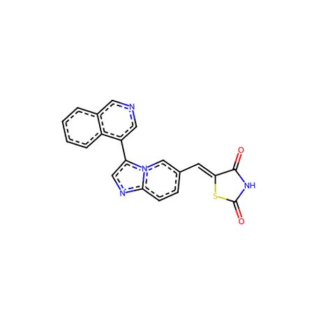 O=C1NC(=O)C(=Cc2ccc3ncc(-c4cncc5ccccc45)n3c2)S1